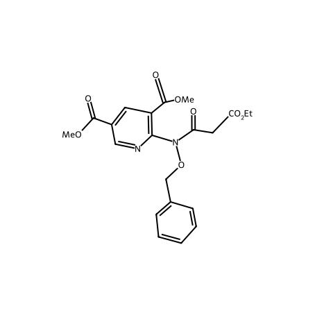 CCOC(=O)CC(=O)N(OCc1ccccc1)c1ncc(C(=O)OC)cc1C(=O)OC